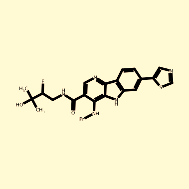 CC(C)Nc1c(C(=O)NCC(F)C(C)(C)O)cnc2c1[nH]c1cc(-c3cncs3)ccc12